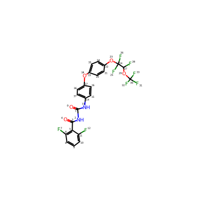 O=C(NC(=O)c1c(F)cccc1F)Nc1ccc(Oc2ccc(OC(F)(F)C(F)OC(F)(F)F)cc2)cc1